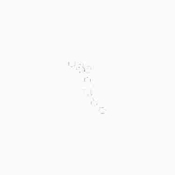 CC1(C)c2ccccc2-c2cc3c(cc21)Oc1ccc(-c2ccc(-c4cccc5nc(-c6ccccc6)ncc45)cc2)cc1O3